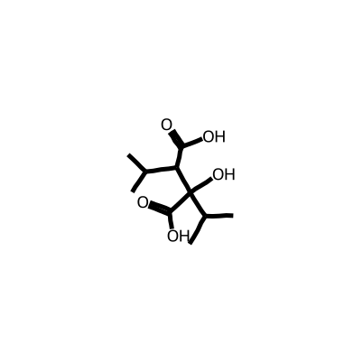 CC(C)C(C(=O)O)C(O)(C(=O)O)C(C)C